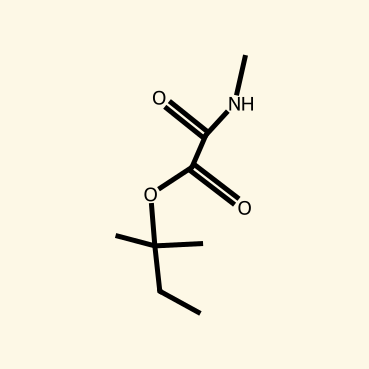 CCC(C)(C)OC(=O)C(=O)NC